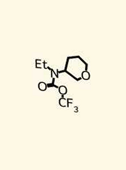 CCN(C(=O)OC(F)(F)F)C1CCCOC1